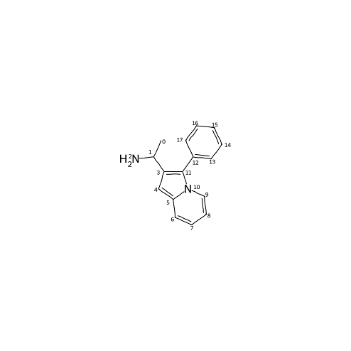 CC(N)c1cc2ccccn2c1-c1ccccc1